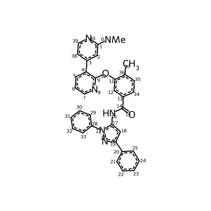 CNc1cc(-c2cccnc2Oc2cc(C(=O)Nc3cc(-c4ccccc4)nn3-c3ccccc3)ccc2C)ccn1